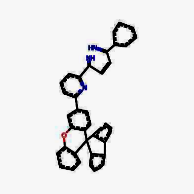 N=C(/C=C\C(=N)c1cccc(-c2ccc3c(c2)Oc2ccccc2C32c3ccccc3-c3ccccc32)n1)c1ccccc1